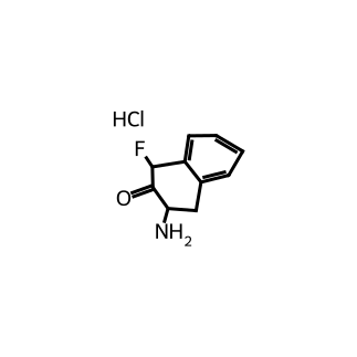 Cl.NC1Cc2ccccc2C(F)C1=O